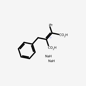 CC(C)/C(C(=O)O)=C(\Cc1ccccc1)C(=O)O.[NaH].[NaH]